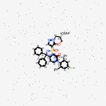 CO[C@@H]1COc2c(S(=O)(=NC(c3ccccc3)(c3ccccc3)c3ccccc3)NC(=O)Nc3c(C(C)C)cc(F)cc3C(C)C)cnn2C1